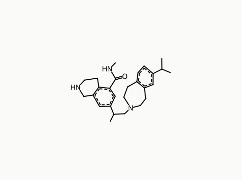 CNC(=O)c1cc(C(C)CN2CCc3ccc(C(C)C)cc3CC2)cc2c1CCNC2